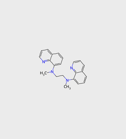 CN(CCN(C)c1cccc2cccnc12)c1cccc2cccnc12